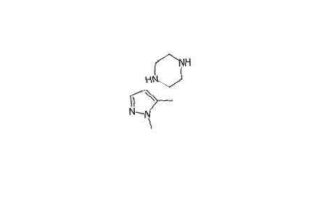 C1CNCCN1.Cc1ccnn1C